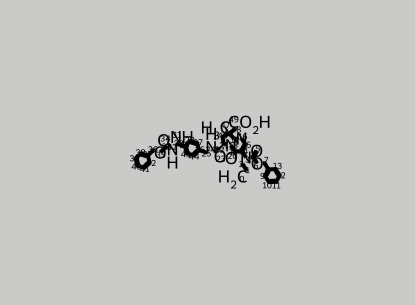 C=CCN(C(=O)OCc1ccccc1)c1cnc2n(c1=O)[C@@H](C(=O)NCc1ccc(C(=N)NC(=O)OCc3ccccc3)cc1)C[C@]2(C)CC(=O)O